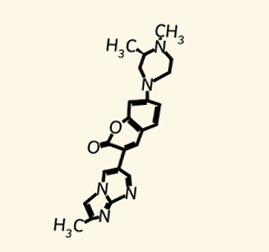 Cc1cn2cc(-c3cc4ccc(N5CCN(C)[C@H](C)C5)cc4oc3=O)cnc2n1